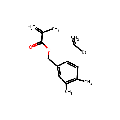 C=C(C)C(=O)OCc1ccc(C)c(C)c1.[CH2]CC=C